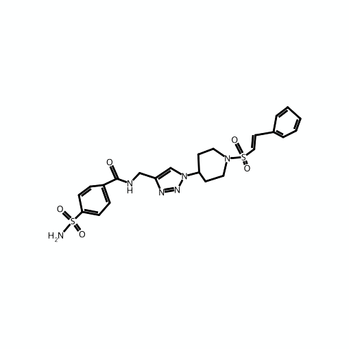 NS(=O)(=O)c1ccc(C(=O)NCc2cn(C3CCN(S(=O)(=O)C=Cc4ccccc4)CC3)nn2)cc1